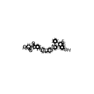 O=C1CC[C@H](N2Cc3cc(N4CCN(CC5CCN(c6ccc([C@H]7c8ccc(O)cc8C(F)(F)C[C@H]7c7ccccc7)cn6)CC5)CC4)ccc3C2=O)C(=O)N1